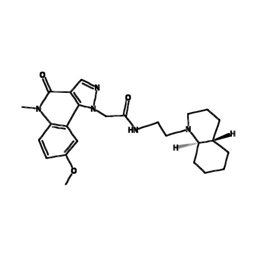 COc1ccc2c(c1)c1c(cnn1CC(=O)NCCN1CCC[C@@H]3CCCC[C@H]31)c(=O)n2C